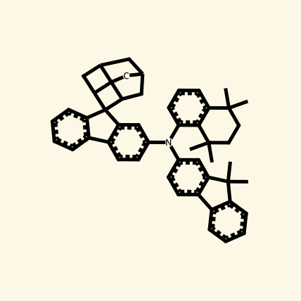 CC1(C)CCC(C)(C)c2c(N(c3ccc4c(c3)C(C)(C)c3ccccc3-4)c3ccc4c(c3)C3(c5ccccc5-4)C4CC5CC6CC3C64C5)cccc21